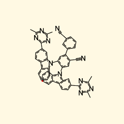 Cc1nc(C)nc(-c2ccc3c4ccccc4n(-c4cc(C#N)c(-c5cccc(C#N)c5)cc4-n4c5ccccc5c5ccc(-c6nc(C)nc(C)n6)cc54)c3c2)n1